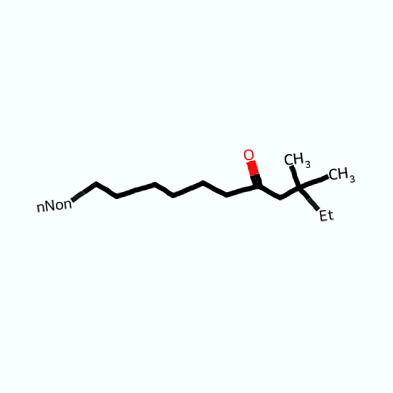 CCCCCCCCCCCCCCCC(=O)CC(C)(C)CC